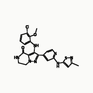 COc1c(Cl)cccc1Nc1c(-c2ccnc(Nc3cc(C)ns3)c2)nn2c1C(=O)NCC2